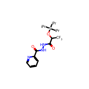 CC(C)[Si](OC(C(=O)NNC(=O)c1ccccn1)C(F)(F)F)(C(C)C)C(C)C